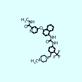 CNC(=O)c1cc(Oc2ccc(NC(=O)Nc3ccc(CN4CCN(C)CC4)c(C(F)(F)F)c3)c3ccccc23)ccn1